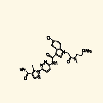 CCCC(=O)c1cnn(-c2ccc(NC(=O)c3cn(CC(=O)N(C)CCOC)c4ccc(Cl)cc34)nn2)c1C